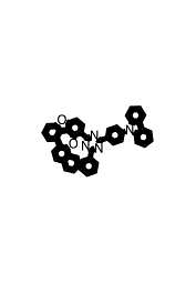 c1ccc(-c2nc(-c3ccc(-n4c5ccccc5c5ccccc54)cc3)nc(-c3ccc4oc5cccc6c7ccc8ccccc8c7oc3c4c56)n2)cc1